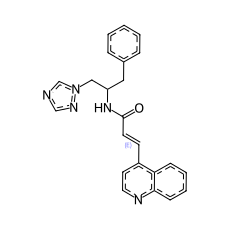 O=C(/C=C/c1ccnc2ccccc12)NC(Cc1ccccc1)Cn1cncn1